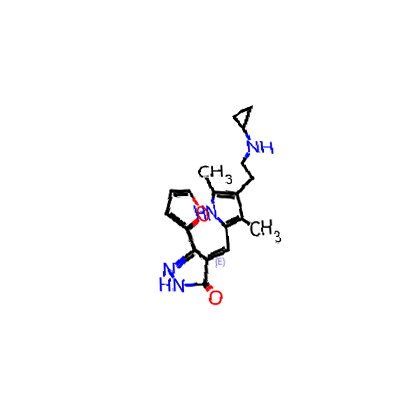 Cc1[nH]c(/C=C2/C(=O)NN=C2c2ccco2)c(C)c1CCNC1CC1